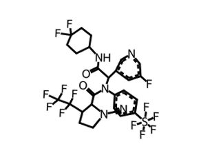 N#CN1CCC(C(F)(F)C(F)(F)F)C1C(=O)N(c1ccc(S(F)(F)(F)(F)F)cc1)C(C(=O)NC1CCC(F)(F)CC1)c1cncc(F)c1